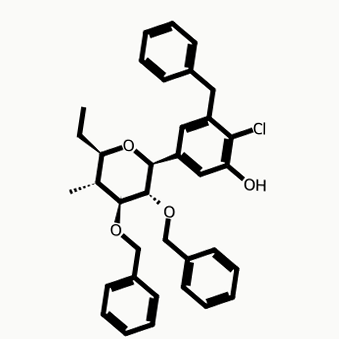 CC[C@H]1O[C@@H](c2cc(O)c(Cl)c(Cc3ccccc3)c2)[C@H](OCc2ccccc2)[C@@H](OCc2ccccc2)[C@@H]1C